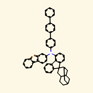 c1ccc(-c2ccc(-c3ccc(N(c4ccc5c(c4)sc4ccccc45)c4cccc5c4-c4ccccc4C54CC5CCC6CC5CC4C6)cc3)cc2)cc1